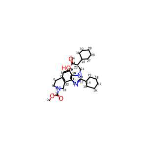 COC(=O)N1CCc2ccc3c(nc(C4CCCCC4)n3C[C@@H](C(=O)O)C3CCCCC3)c2C1